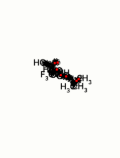 CC1(C)CCC(CN2CCN(c3ccc(C(=O)NS(=O)(=O)c4ccc(N[C@H](CCN5CCC(O)CC5)CSc5ccccc5)c(S(=O)(=O)C(F)(F)F)c4)cc3)CC2)=C(C23CC(C)(C2)C3)C1